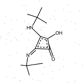 CC(C)(C)/N=c1/c(NC(C)(C)C)c(O)c1=O